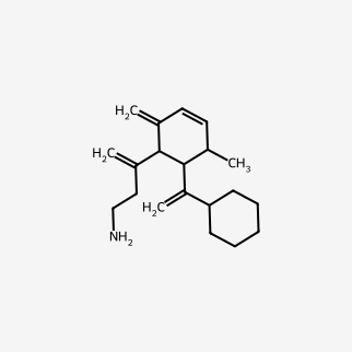 C=C1C=CC(C)C(C(=C)C2CCCCC2)C1C(=C)CCN